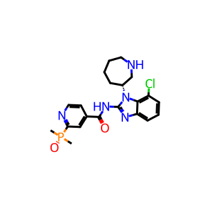 CP(C)(=O)c1cc(C(=O)Nc2nc3cccc(Cl)c3n2[C@@H]2CCCCNC2)ccn1